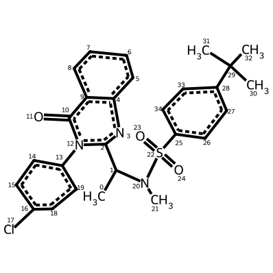 CC(c1nc2ccccc2c(=O)n1-c1ccc(Cl)cc1)N(C)S(=O)(=O)c1ccc(C(C)(C)C)cc1